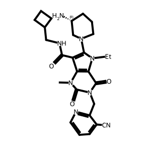 CCn1c(N2CCC[C@@H](N)C2)c(C(=O)NCC2CCC2)c2c1c(=O)n(Cc1ncccc1C#N)c(=O)n2C